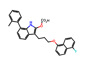 Cc1ccccc1-c1cccc2c(CCCOc3cccc4c(F)cccc34)c(OC(=O)O)[nH]c12